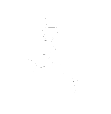 Cc1cc(I)ccc1Nc1cc(F)c(Br)cc1C(=O)NOC(C)(C)CO